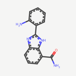 NC(=O)c1cccc2nc(-c3ccccc3N)[nH]c12